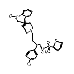 CN(C[C@H](CCN1CCC2(CC1)C[S+]([O-])c1ccccc12)c1ccc(Cl)cc1)S(=O)(=O)c1cccs1